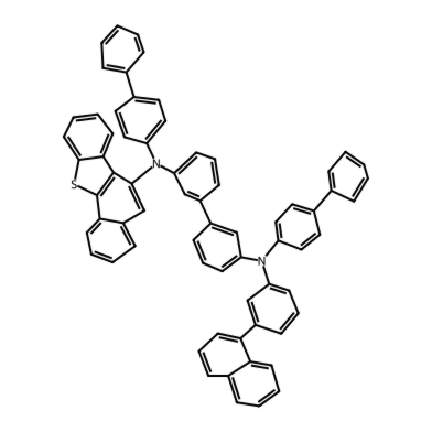 c1ccc(-c2ccc(N(c3cccc(-c4cccc(N(c5ccc(-c6ccccc6)cc5)c5cc6ccccc6c6sc7ccccc7c56)c4)c3)c3cccc(-c4cccc5ccccc45)c3)cc2)cc1